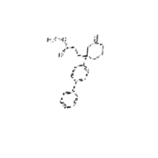 COC(=O)CCC1(c2ccc(-c3ccccc3)cc2)CCCNC1